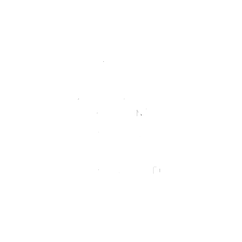 CCOc1nc2ccccc2cc1CC(C)C